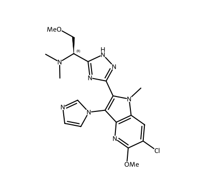 COC[C@@H](c1nc(-c2c(-n3ccnc3)c3nc(OC)c(Cl)cc3n2C)n[nH]1)N(C)C